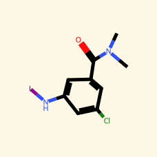 CN(C)C(=O)c1cc(Cl)cc(NI)c1